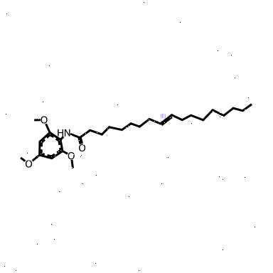 CCCCCCCC/C=C/CCCCCCCC(=O)Nc1c(OC)cc(OC)cc1OC